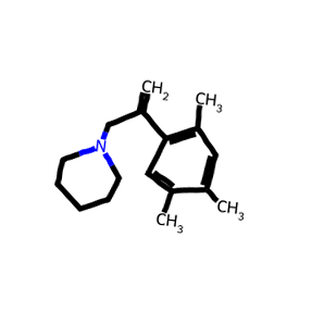 C=C(CN1CCCCC1)c1cc(C)c(C)cc1C